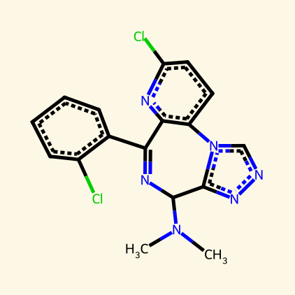 CN(C)C1N=C(c2ccccc2Cl)c2nc(Cl)ccc2-n2cnnc21